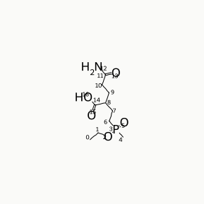 CCOP(C)(=O)CCC(CCC(N)=O)C(=O)O